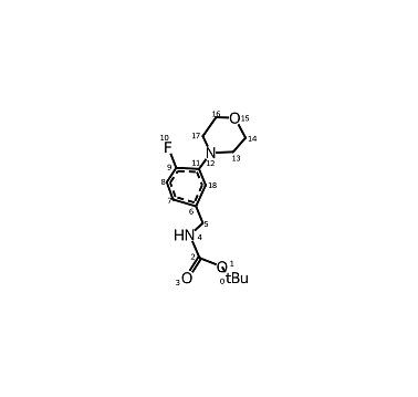 CC(C)(C)OC(=O)NCc1ccc(F)c(N2CCOCC2)c1